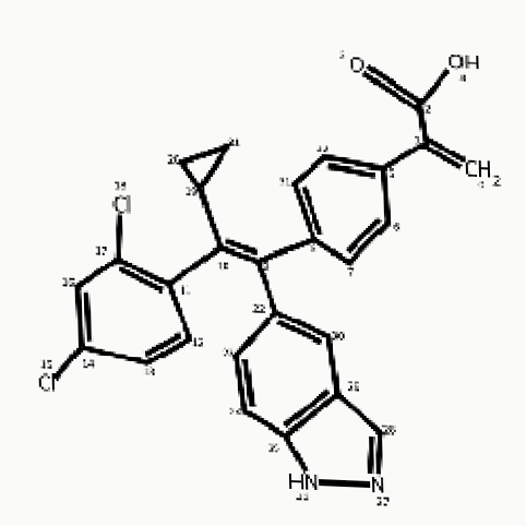 C=C(C(=O)O)c1ccc(C(=C(c2ccc(Cl)cc2Cl)C2CC2)c2ccc3[nH]ncc3c2)cc1